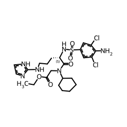 CCOC(=O)CN(C(=O)[C@H](CCCNc1ncc[nH]1)NS(=O)(=O)c1cc(Cl)c(N)c(Cl)c1)C1CCCCC1